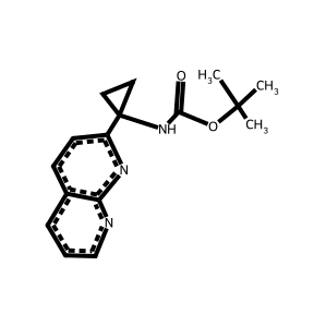 CC(C)(C)OC(=O)NC1(c2ccc3cccnc3n2)CC1